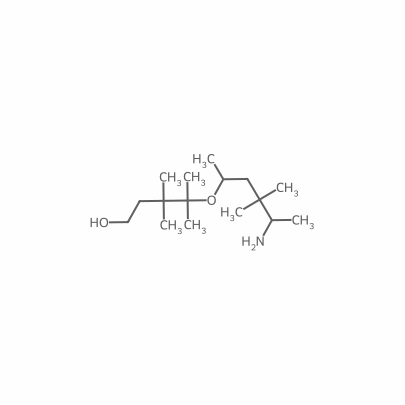 CC(CC(C)(C)C(C)N)OC(C)(C)C(C)(C)CCO